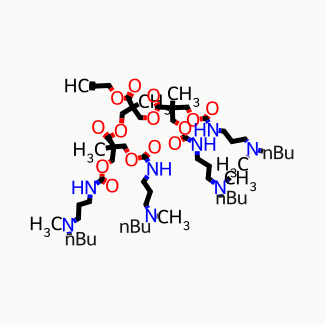 C#CCOC(=O)C(C)(COC(=O)C(C)(COC(=O)NCCCN(C)CCCC)COC(=O)NCCCN(C)CCCC)COC(=O)C(C)(COC(=O)NCCCN(C)CCCC)COC(=O)NCCCN(C)CCCC